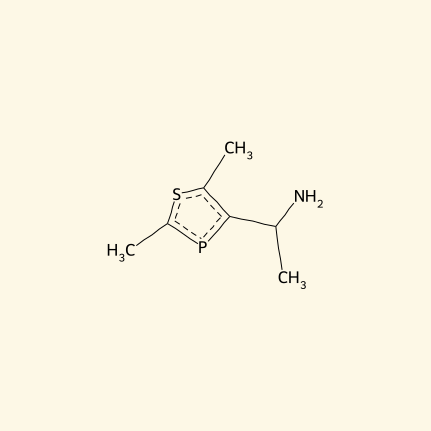 Cc1pc(C(C)N)c(C)s1